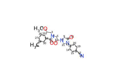 COCCN(CC(=O)N1CC(=O)N(c2ccc(C#N)cc2)C1)C(=O)c1cccc(C)c1